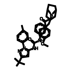 COc1ccc(C(=O)CN2C3CCC2CC(Cc2cccc(NC(=O)Nc4cc(C(C)(C)C)nn4-c4ccc(C)cc4)c2)C3)cc1